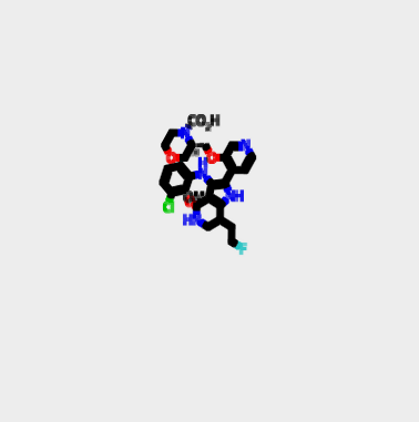 COc1c(Cl)cccc1Nc1c(-c2ccncc2OC[C@@H]2COCCN2C(=O)O)[nH]c2c1C(=O)NCC2CCF